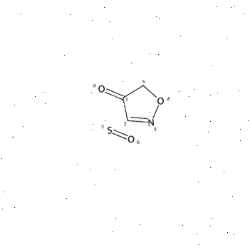 O=C1C=NOC1.O=S